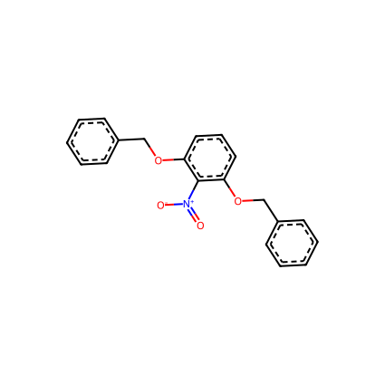 O=[N+]([O-])c1c(OCc2ccccc2)cccc1OCc1ccccc1